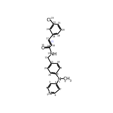 CN(c1ccncc1)c1ccc(CNC(=O)/C=C/c2cccc(Cl)c2)cc1